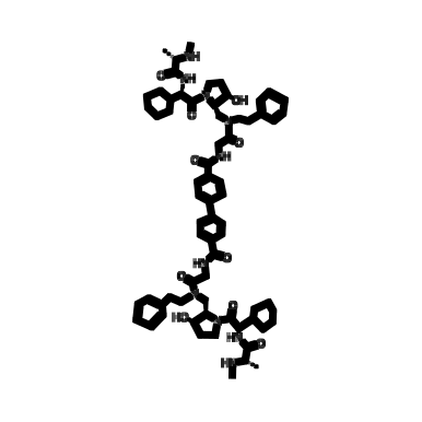 CN[C@@H](C)C(=O)N[C@H](C(=O)N1CC[C@H](O)[C@H]1CN(CCc1ccccc1)C(=O)CNC(=O)c1ccc(-c2ccc(C(=O)NCC(=O)N(CCc3ccccc3)C[C@@H]3[C@@H](O)CCN3C(=O)[C@@H](NC(=O)[C@H](C)NC)C3CCCCC3)cc2)cc1)C1CCCCC1